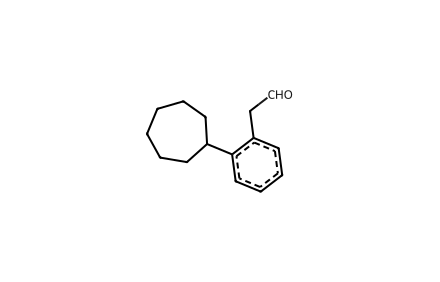 O=CCc1ccccc1C1CCCCCC1